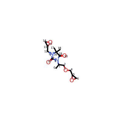 CC(COCC1CO1)N1C(=O)N(CC2CO2)C(C)(C)C1=O